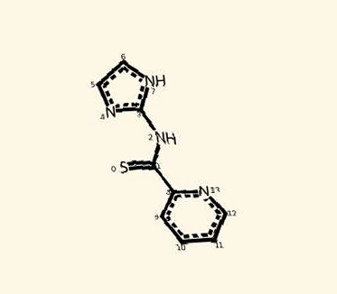 S=C(Nc1ncc[nH]1)c1ccccn1